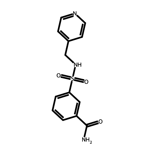 NC(=O)c1cccc(S(=O)(=O)NCc2ccncc2)c1